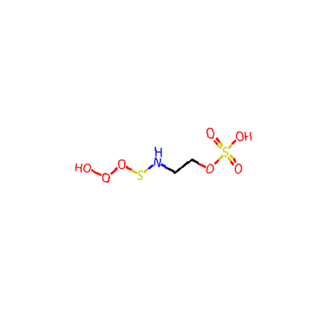 O=S(=O)(O)OCCNSOOO